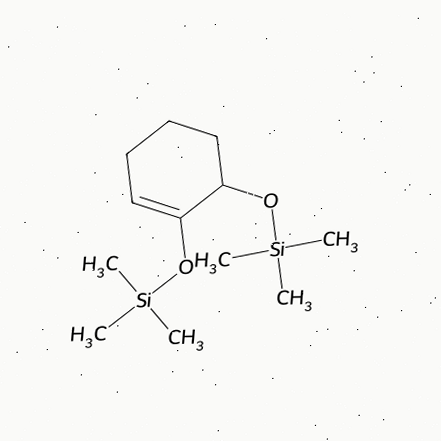 C[Si](C)(C)OC1=CCCCC1O[Si](C)(C)C